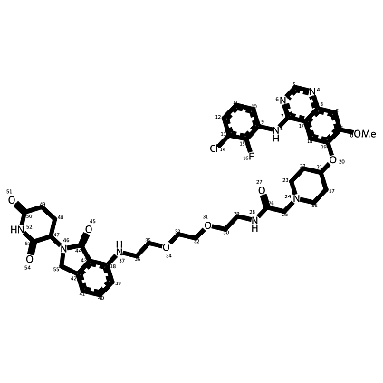 COc1cc2ncnc(Nc3cccc(Cl)c3F)c2cc1OC1CCN(CC(=O)NCCOCCOCCNc2cccc3c2C(=O)N(C2CCC(=O)NC2=O)C3)CC1